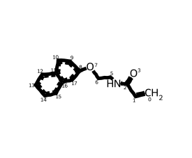 C=CC(=O)NCCOc1ccc2ccccc2c1